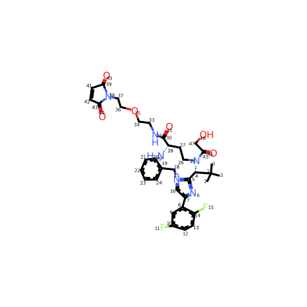 CC(C)(C)[C@H](c1nc(-c2cc(F)ccc2F)cn1Cc1ccccc1)N(CC[C@H](N)C(=O)NCCOCCN1C(=O)C=CC1=O)C(=O)CO